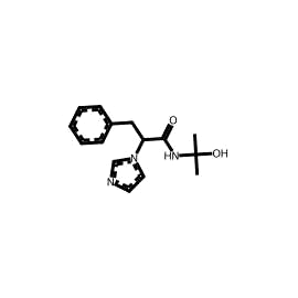 CC(C)(O)NC(=O)C(Cc1ccccc1)n1ccnc1